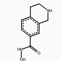 O=C(NO)c1ccc2c(c1)CNCC2